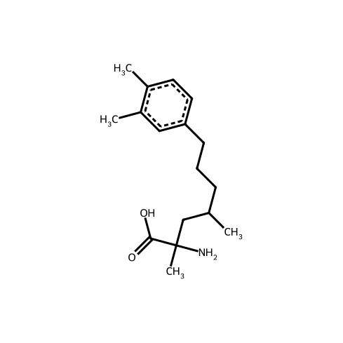 Cc1ccc(CCCC(C)CC(C)(N)C(=O)O)cc1C